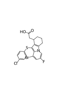 O=C(O)CC1CCCc2c1c(Sc1ccc(Cl)cc1)c1c(Br)cc(F)cn21